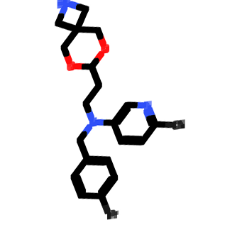 CC(C)c1ccc(CN(CCC2OCC3(CNC3)CO2)c2ccc(C#N)nc2)cc1